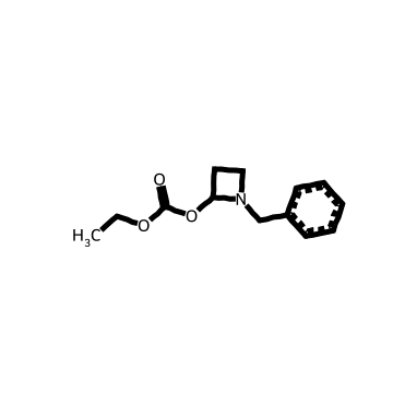 CCOC(=O)OC1CCN1Cc1ccccc1